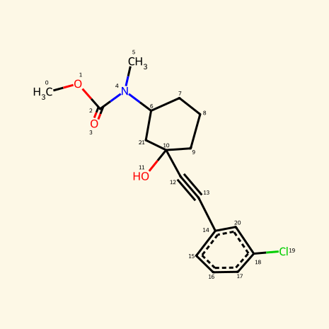 COC(=O)N(C)C1CCCC(O)(C#Cc2cccc(Cl)c2)C1